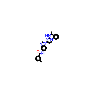 Cc1cccc(C(=O)Nc2ccc3c(c2)ncn3-c2ccnc(N[C@@H](C)c3ccccc3)n2)c1